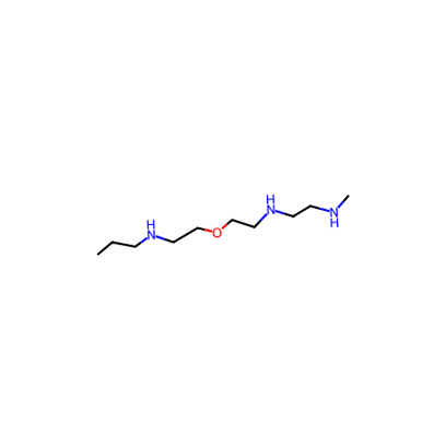 CCCNCCOCCNCCNC